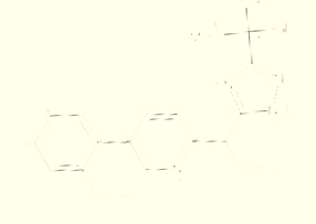 CCCCCC(c1ccc(-c2ccccc2C(=O)O)cn1)c1nc(C(CCC)(OC)OC)n[nH]1